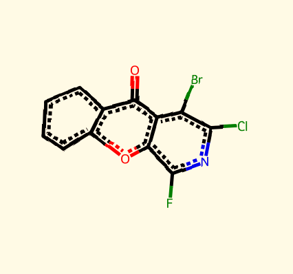 O=c1c2ccccc2oc2c(F)nc(Cl)c(Br)c12